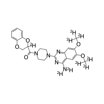 [2H]N([2H])c1nc(N2CCN(C(=O)C3([2H])COc4ccccc4O3)CC2)nc2cc(OC([2H])([2H])[2H])c(OC([2H])([2H])[2H])cc12